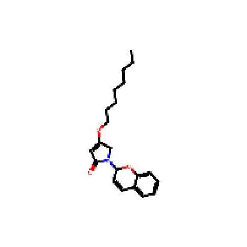 CCCCCCCCOC1=CC(=O)N(C2C=Cc3ccccc3O2)C1